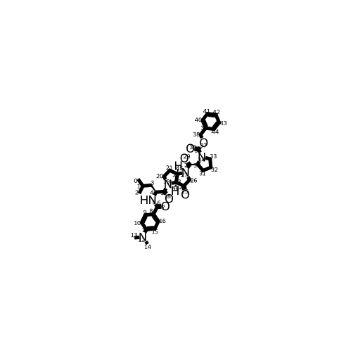 CC(C)C[C@H](NC(=O)c1ccc(N(C)C)cc1)C(=O)N1CC[C@@H]2[C@H]1C(=O)CN2C(=O)[C@@H]1CCCN1C(=O)OCc1ccccc1